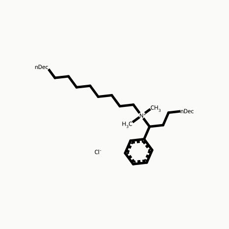 CCCCCCCCCCCCCCCCCC[N+](C)(C)C(CCCCCCCCCCCC)c1ccccc1.[Cl-]